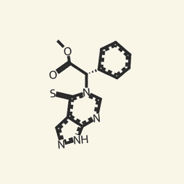 COC(=O)[C@H](c1ccccc1)n1cnc2[nH]ncc2c1=S